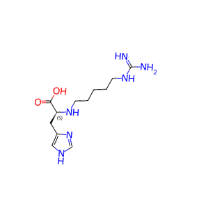 N=C(N)NCCCCCN[C@@H](Cc1c[nH]cn1)C(=O)O